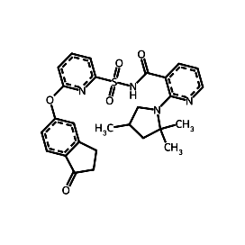 CC1CN(c2ncccc2C(=O)NS(=O)(=O)c2cccc(Oc3ccc4c(c3)CCC4=O)n2)C(C)(C)C1